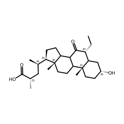 CC[C@H]1C(=O)C2C(CC[C@@]3(C)C2CC[C@@H]3[C@H](C)C[C@H](C)C(=O)O)[C@@]2(C)CC[C@@H](O)CC12